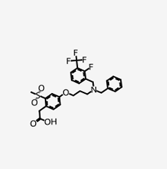 CS(=O)(=O)c1cc(OCCCN(Cc2ccccc2)Cc2cccc(C(F)(F)F)c2F)ccc1CC(=O)O